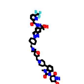 Cn1c(=O)n(C2CCC(=O)NC2=O)c2cccc(C3CCN(CC4COC5(C4)CN(C[C@H]4CC[C@H](n6cc7cc(NC(=O)c8cccc(C(F)(F)F)n8)c(C(C)(C)O)cc7n6)CC4)C5)CC3)c21